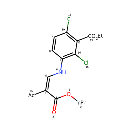 CCCOC(=O)C(=CNc1ccc(Cl)c(C(=O)OCC)c1Cl)C(C)=O